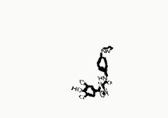 O=C(NCc1ccc(Cn2cccn2)cc1)c1noc(-c2cc(Cl)c(O)c(Cl)c2)n1